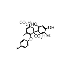 CCc1cc(C2(C(=O)O)CC(C(=O)O)=CC(C)=C2Oc2ccc(F)cc2)c(O)cc1O